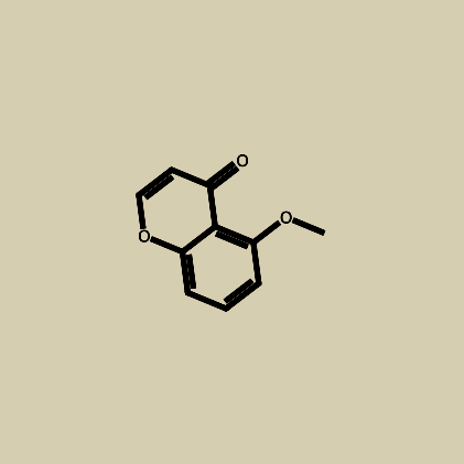 COc1cccc2occc(=O)c12